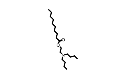 CCCCCCCCCC(=O)OCCN(CCCC)CCCC